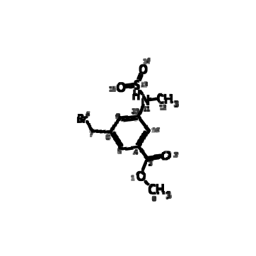 COC(=O)c1cc(CBr)cc(N(C)[SH](=O)=O)c1